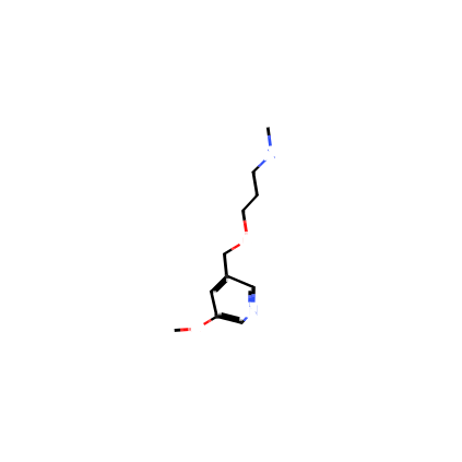 CNCCCOCc1cncc(OC)c1